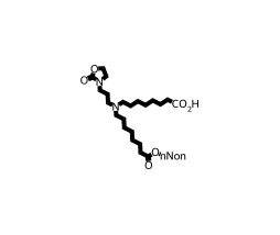 CCCCCCCCCOC(=O)CCCCCCCN(CCCCCCCC(=O)O)CCCN1CCOC1=O